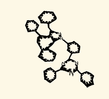 c1ccc(-c2nc(-c3ccccc3)nc(-c3cccc(-n4nc(-c5ccccc5)c5c(-c6ccccc6)cc6ccccc6c54)c3)n2)cc1